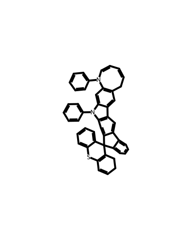 C1=CC2=C(CC1)C1(c3ccccc3S2)c2ccccc2-c2cc3c4cc5c(cc4n(-c4ccccc4)c3cc21)N(c1ccccc1)/C=C\C=C/C5